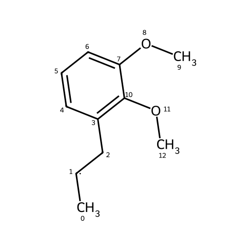 C[CH]Cc1cccc(OC)c1OC